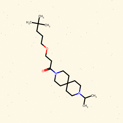 CC(C)N1CCC2(CCN(C(=O)CCOCCCC(C)(C)C)CC2)CC1